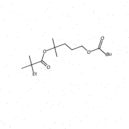 CCC(C)C(=O)OCCCC(C)(C)OC(=O)C(C)(C)CC